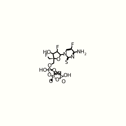 Nc1nc(=S)n(C2O[C@](CF)(COP(=O)(O)OP(=O)(O)OP(=O)(O)O)C(O)C2F)cc1F